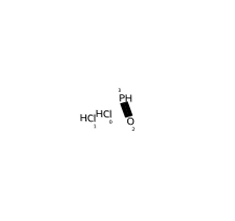 Cl.Cl.O=P